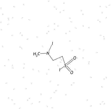 CN(I)CCS(=O)(=O)I